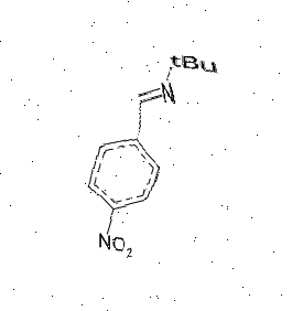 CC(C)(C)N=Cc1ccc([N+](=O)[O-])cc1